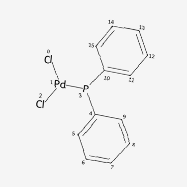 [Cl][Pd]([Cl])[P](c1ccccc1)c1ccccc1